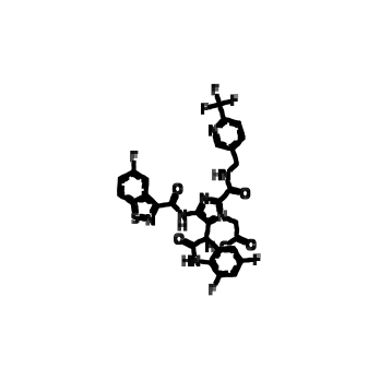 CC(=O)Cn1c(C(=O)NCc2ccc(C(F)(F)F)nc2)nc(NC(=O)c2nsc3ccc(F)cc23)c1C1C(=O)Nc2c(F)cc(F)cc21